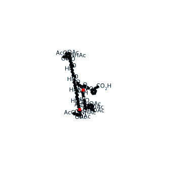 CC(=O)NC1C(C(=O)CCCC(=O)NCCCCC(=O)NCCN(CCNC(=O)CCCCNC(=O)CCCC(=O)C2OC(COC(C)=O)C(OC(C)=O)C(OC(C)=O)C2NC(C)=O)C(=O)CC[C@H](NC(=O)CCCCNC(=O)CCCC(=O)C2OC(COC(C)=O)C(OC(C)=O)C(OC(C)=O)C2NC(C)=O)C(=O)NCCOc2ccccc2CCC(=O)O)OC(COC(C)=O)C(OC(C)=O)C1OC(C)=O